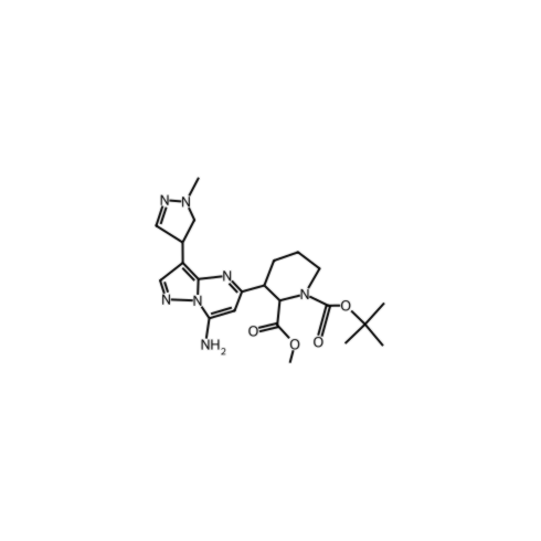 COC(=O)C1C(c2cc(N)n3ncc(C4C=NN(C)C4)c3n2)CCCN1C(=O)OC(C)(C)C